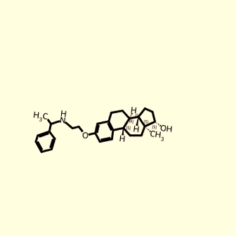 CC(NCCOc1ccc2c(c1)CC[C@@H]1[C@@H]2CC[C@]2(C)[C@@H](O)CC[C@@H]12)c1ccccc1